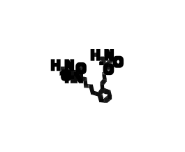 NC(=O)COCCCc1ccccc1CCCCNC(=O)C(N)=O